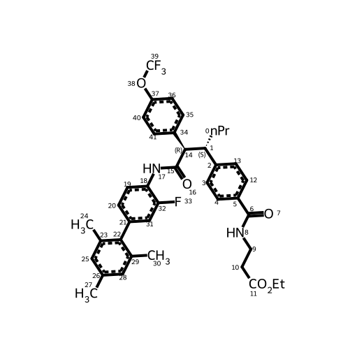 CCC[C@H](c1ccc(C(=O)NCCC(=O)OCC)cc1)[C@@H](C(=O)Nc1ccc(-c2c(C)cc(C)cc2C)cc1F)c1ccc(OC(F)(F)F)cc1